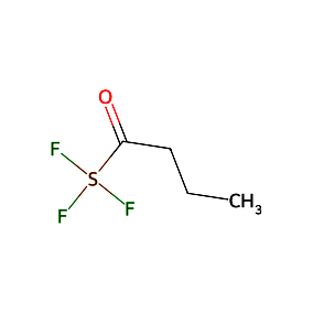 CCCC(=O)S(F)(F)F